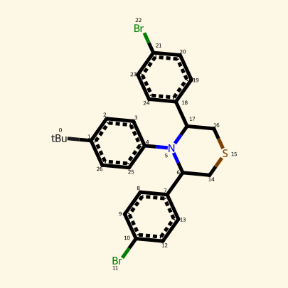 CC(C)(C)c1ccc(N2C(c3ccc(Br)cc3)CSCC2c2ccc(Br)cc2)cc1